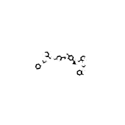 Cc1cc(F)ccc1NC1CN(c2ncc(Cl)cc2C(=O)NC2(c3ccc(C(=O)OC(=O)c4ccc(CNC(=O)c5cc(Cl)cnc5N5CC(Oc6cccc(F)c6)C5)nc4)cc3)CC2)C1